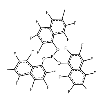 Cc1c(F)c(F)c2c(OB(Oc3c(F)c(F)c(F)c4c(F)c(C)c(F)c(F)c34)Oc3c(F)c(F)c(F)c4c(F)c(C)c(F)c(F)c34)c(F)c(F)c(F)c2c1F